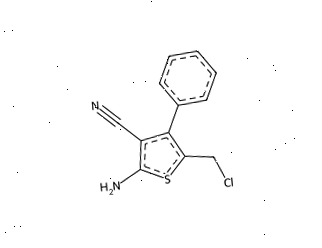 N#Cc1c(N)sc(CCl)c1-c1ccccc1